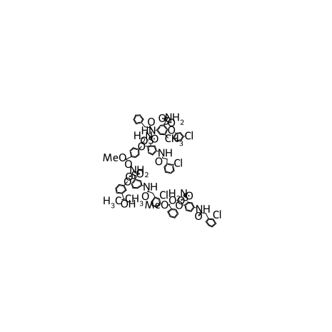 CC(C)(O)c1cccc(Oc2ccc(NC(=O)Cc3ccccc3Cl)cc2S(N)(=O)=O)c1.COC(=O)c1ccc(Oc2ccc(NC(=O)Cc3ccccc3Cl)cc2S(N)(=O)=O)cc1.COC(=O)c1ccccc1Oc1ccc(NC(=O)Cc2ccccc2Cl)cc1S(N)(=O)=O.Cc1cc(NC(=O)Cc2ccccc2)cc(S(N)(=O)=O)c1Oc1cccc(Cl)c1